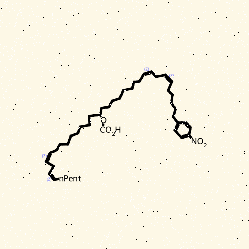 CCCCC/C=C\C/C=C\CCCCCCCCC(CCCCCCCC/C=C\C/C=C\CCCCCc1ccc([N+](=O)[O-])cc1)OC(=O)O